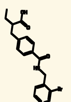 CCC(Cc1ccc(C(=O)NCc2ccccc2Br)cc1)C(=O)O